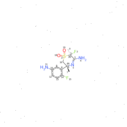 C[C@]1(F)C(N)=N[C@](C)(c2cc(N)ccc2F)CS1(=O)=O